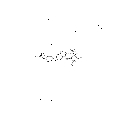 COc1cc(Nc2c(C#N)cnc3cc(-c4ccc(CN(C)C)cc4)ccc23)c(Cl)cc1Cl